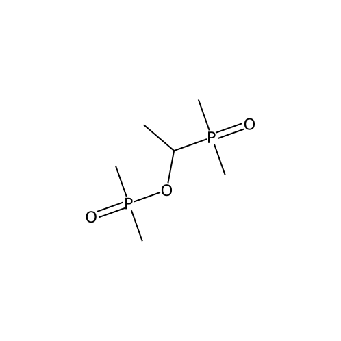 CC(OP(C)(C)=O)P(C)(C)=O